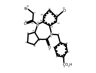 O=C(O)c1ccc(CN2C(=O)C3CCCC3N(C(=O)CBr)c3ccc(Cl)cc32)cc1